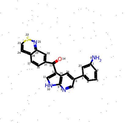 Nc1cccc(-c2cnc3[nH]cc(C(=O)c4ccc5c(c4)=NSC=C=5)c3c2)c1